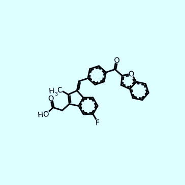 CC1=C(CC(=O)O)c2cc(F)ccc2/C1=C\c1ccc(C(=O)c2cc3ccccc3o2)cc1